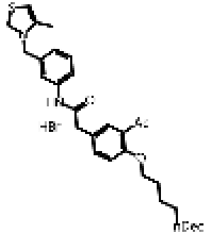 Br.CCCCCCCCCCCCCCOc1ccc(CC(=O)Nc2cccc(CN3CSC=C3C)c2)cc1C(C)=O